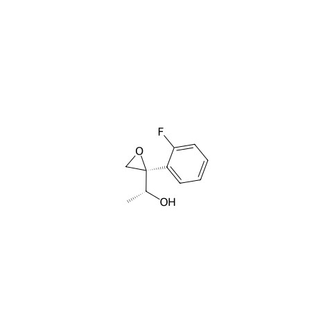 C[C@@H](O)[C@@]1(c2ccccc2F)CO1